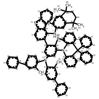 Cc1cc2c(cc1Nc1c(-c3cc(N(c4ccc(-c5ccccc5)cc4C)c4ccc(-c5ccccc5)cc4C)cc4c3Bc3cccc5c3N4c3ccccc3C5(c3ccccc3)c3ccccc3)ccc3sc4ccccc4c13)C(C)(C)CCC2(C)C